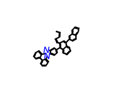 C/C=C\C=C/c1cc(-c2ccc3ccccc3c2)c2ccccc2c1-c1ccc2c(c1)nc1c3ccccc3c3ccccc3n21